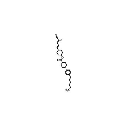 CCCCCCc1ccc([C@H]2CC[C@H](C(=O)OC3CCC(/C=C/C=C(F)C#N)CC3)CC2)cc1